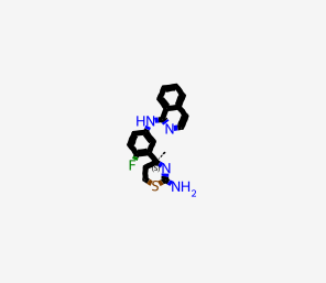 C[C@@]1(c2cc(Nc3nccc4ccccc34)ccc2F)CCSC(N)=N1